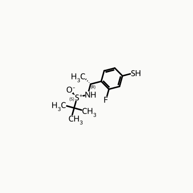 C[C@@H](N[S@+]([O-])C(C)(C)C)c1ccc(S)cc1F